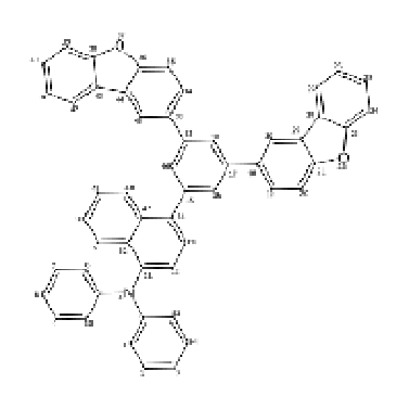 c1ccc(N(c2ccccc2)c2ccc(-c3cc(-c4ccc5oc6ccccc6c5c4)cc(-c4ccc5oc6ccccc6c5c4)c3)c3ccccc23)cc1